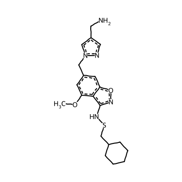 COc1cc(Cn2cc(CN)cn2)cc2onc(NSCC3CCCCC3)c12